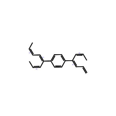 C=C/C=C(\C=C/C)c1ccc(C(/C=C\C)=C/C=C\C)cc1